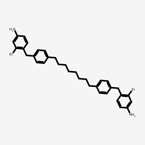 CCc1cc(N)ccc1Cc1ccc(CCCCCCCCc2ccc(Cc3ccc(N)cc3CC)cc2)cc1